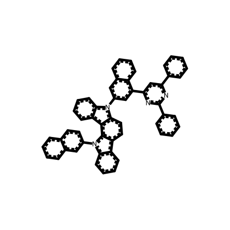 c1ccc(-c2cc(-c3cc(-n4c5ccccc5c5c4ccc4c6ccccc6n(-c6ccc7ccccc7c6)c45)cc4ccccc34)nc(-c3ccccc3)n2)cc1